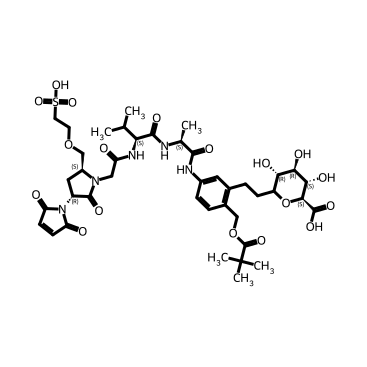 CC(C)[C@H](NC(=O)CN1C(=O)[C@H](N2C(=O)C=CC2=O)C[C@H]1COCCS(=O)(=O)O)C(=O)N[C@@H](C)C(=O)Nc1ccc(COC(=O)C(C)(C)C)c(CCC2O[C@H](C(=O)O)[C@@H](O)[C@H](O)[C@H]2O)c1